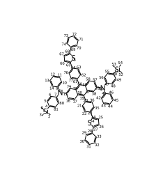 C[Si](C)(C)c1ccc(N(c2ccccc2)c2ccc3c(-c4ccc(-c5ccc(-c6ccccc6)s5)cc4)c4cc(N(c5ccccc5)c5ccc([Si](C)(C)C)cc5)ccc4c(-c4ccc(-c5ccc(-c6ccccc6)s5)cc4)c3c2)cc1